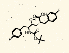 CC(C)(C)OC(=O)N[C@@H](Cc1ccc(F)cc1)[C@@H](O)C[C@@H](Cc1ccc(F)cc1)C(=O)O